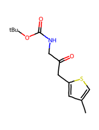 Cc1csc(CC(=O)CNC(=O)OC(C)(C)C)c1